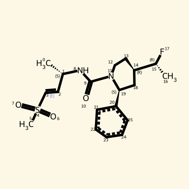 C[C@@H](/C=C/S(C)(=O)=O)NC(=O)N1CC[C@@H]([C@@H](C)F)C[C@H]1c1ccccc1